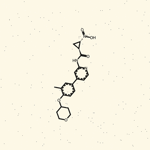 Cc1cc(-c2ccnc(NC(=O)[C@H]3C[C@@H]3[N+](=O)O)c2)ccc1OC1CCOCC1